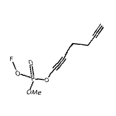 C#CCCC#COP(=O)(OC)OF